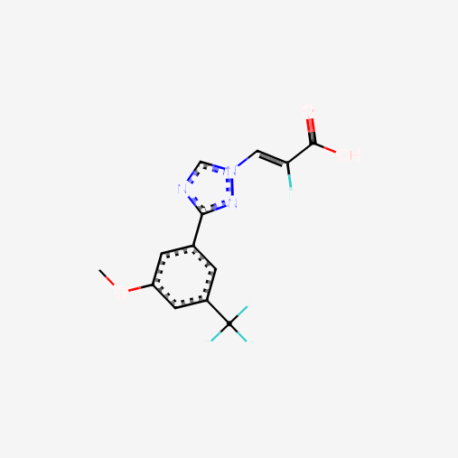 COc1cc(-c2ncn(C=C(F)C(=O)O)n2)cc(C(F)(F)F)c1